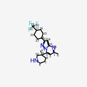 Cc1cc([C@]2(C)CCCNC2)n2nc(C3CCC(C(F)(F)F)CC3)cc2n1